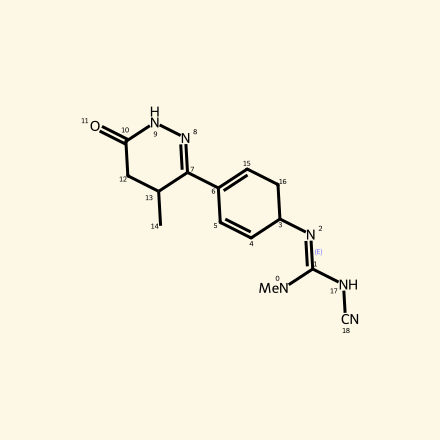 CN/C(=N\C1C=CC(C2=NNC(=O)CC2C)=CC1)NC#N